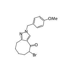 COc1ccc(Cn2cc3c(n2)CCCCC(Br)C3=O)cc1